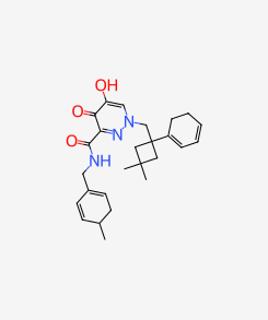 CC1C=CC(CNC(=O)c2nn(CC3(C4=CC=CCC4)CC(C)(C)C3)cc(O)c2=O)=CC1